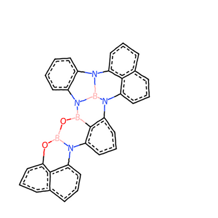 c1ccc2c(c1)N1B3OB4Oc5cccc6cccc(c56)N4c4cccc(c43)N3B1N2c1cccc2cccc3c12